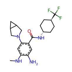 CNc1cc(N2CC3CC3C2)c(C(=O)N[C@H]2CC[C@H](C(F)(F)F)CC2)cc1N